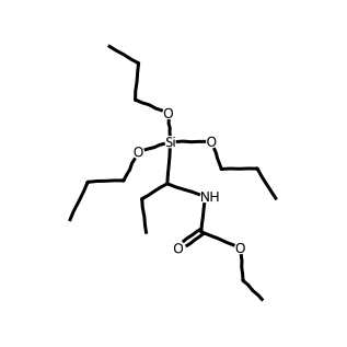 CCCO[Si](OCCC)(OCCC)C(CC)NC(=O)OCC